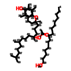 CC(=O)O.CCCCCCCCCCCCCCCCO.Cc1c(C)c2c(c(C)c1O)CC[C@@](C)(CCCC(C)CCCC(C)CCCC(C)C)O2